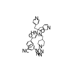 N#Cc1ccc(C(=O)/C=C2\NC(Cc3ccncc3)(Cc3ccncc3)C(=O)N2CC2CCN(c3nnnn3-c3ccccc3)CC2)cc1